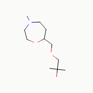 CN1CCOC(COCC(C)(C)O)CC1